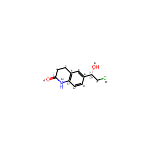 O=C1CCc2cc([C@H](O)CCl)ccc2N1